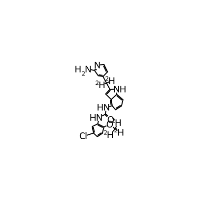 [2H]C([2H])([2H])Oc1ccc(Cl)cc1NC(=O)Nc1cccc2[nH]c(C([2H])([2H])c3ccnc(N)c3)cc12